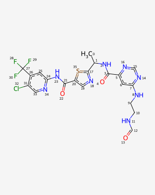 CC(NC(=O)c1cc(NCCNC=O)ncn1)c1ncc(C(=O)Nc2cc(C(F)(F)F)c(Cl)cn2)s1